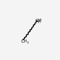 CCCCCCCCCCCCCCCCPO